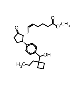 CCCC1(C(O)c2ccc([C@H]3CCC(=O)[C@@H]3C/C=C\CCCC(=O)OC)cc2)CCC1